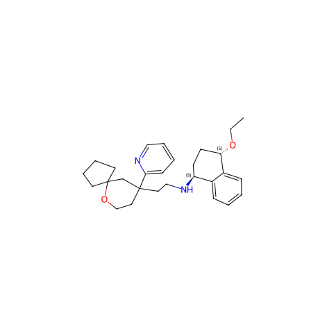 CCO[C@H]1CC[C@H](NCCC2(c3ccccn3)CCOC3(CCCC3)C2)c2ccccc21